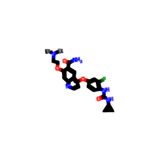 CCN(CC)CCOc1cc2nccc(Oc3ccc(NC(=O)NC4CC4)c(F)c3)c2cc1C(N)=O